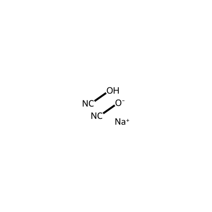 N#CO.N#C[O-].[Na+]